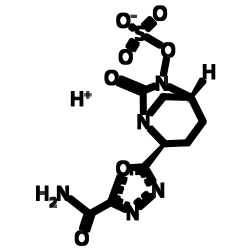 NC(=O)c1nnc([C@@H]2CC[C@@H]3CN2C(=O)N3OS(=O)(=O)[O-])o1.[H+]